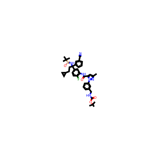 Cc1cc(C(=O)Nc2cc(C(CCC3CC3)(N[S@@+]([O-])C(C)(C)C)c3cccc(C#N)c3)ccc2F)n(-c2cccc(CNC(=O)OC(C)(C)C)c2)n1